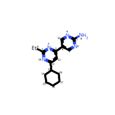 CCc1nc(-c2cnc(N)nc2)cc(C2CCCCC2)n1